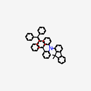 CC1(C)c2ccccc2-c2cccc(N(c3cccc(C(=C(c4ccccc4)c4ccccc4)c4ccccc4)c3)c3ccccc3-c3ccccc3)c21